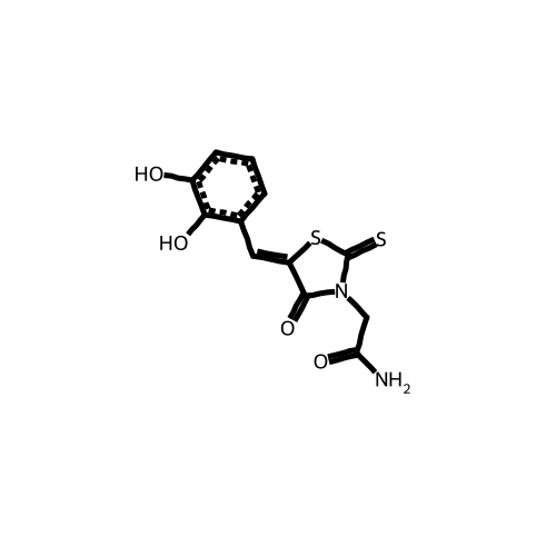 NC(=O)CN1C(=O)/C(=C/c2cccc(O)c2O)SC1=S